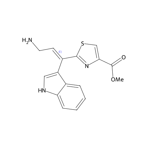 COC(=O)c1csc(/C(=C/CN)c2c[nH]c3ccccc23)n1